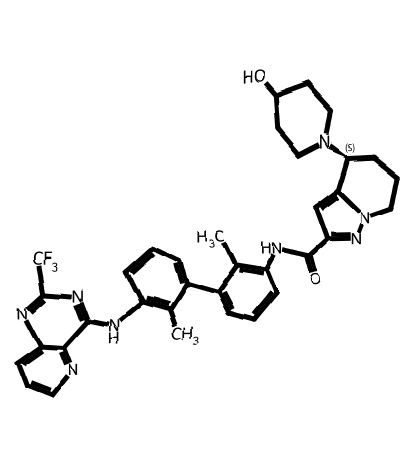 Cc1c(NC(=O)c2cc3n(n2)CCC[C@@H]3N2CCC(O)CC2)cccc1-c1cccc(Nc2nc(C(F)(F)F)nc3cccnc23)c1C